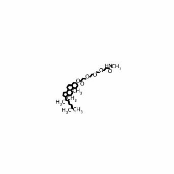 CNC(=O)CCOCCOCCOCCC(=O)OC1CCC2(C)C(=CCC3C2CCC2(C)C(C(C)CCCC(C)C)CCC32)C1